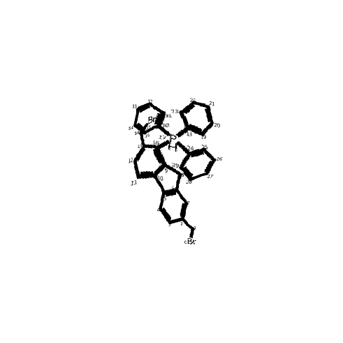 BrCc1ccc2c(c1)Cc1c-2ccc(CBr)c1[PH](c1ccccc1)(c1ccccc1)c1ccccc1